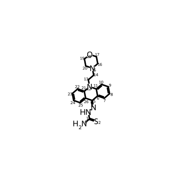 NC(=S)NN=c1c2ccccc2n(CCN2CCOCC2)c2ccccc12